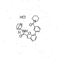 Cl.O=C(N[C@@H]1CN2CCC1CC2)c1cc2cccc(-c3cccc(C(=O)N4CCCCC4)c3)c2o1